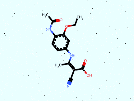 CCOc1cc(N/C(C)=C(/C#N)C(=O)O)ccc1NC(C)=O